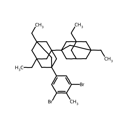 CCC12CC3CC(CC)(C1)CC(C14CC5(CC)CC(CC)(CC(c6cc(Br)c(C)c(Br)c6)(C5)C1)C4)(C3)C2